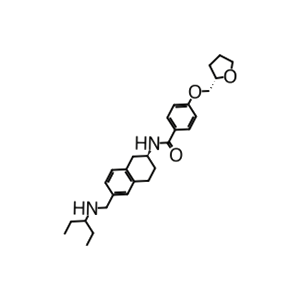 CCC(CC)NCc1ccc2c(c1)CC[C@H](NC(=O)c1ccc(OC[C@@H]3CCCO3)cc1)C2